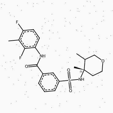 Cc1c(F)ccc(NC(=O)c2cccc(S(=O)(=O)N[C@@]3(C)CCOCC3C)c2)c1F